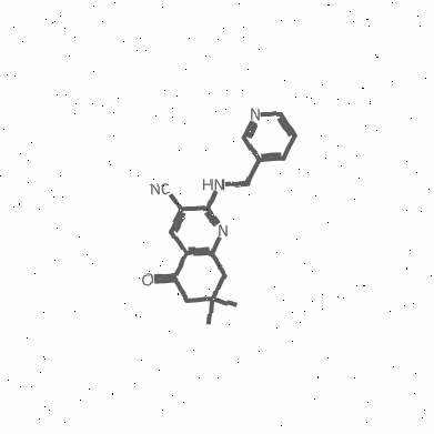 CC1(C)CC(=O)c2cc(C#N)c(NCc3cccnc3)nc2C1